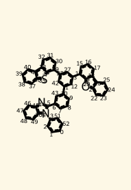 c1ccc(-n2c(-c3cccc(-c4cc(-c5cccc6c5oc5ccccc56)cc(-c5cccc6c5sc5ccccc56)c4)c3)nc3ccccc32)cc1